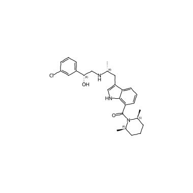 C[C@H](Cc1c[nH]c2c(C(=O)N3[C@H](C)CCC[C@@H]3C)cccc12)NC[C@H](O)c1cccc(Cl)c1